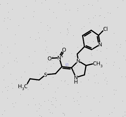 CCCSC/C(=C1\NCC(C)N1Cc1ccc(Cl)nc1)[N+](=O)[O-]